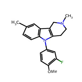 COc1ccc(-n2c3c(c4cc(C)ccc42)CN(C)CC3)cc1F